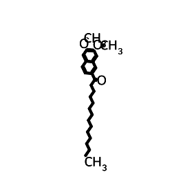 CCCCCCCCCCCCCCC(=O)c1ccc2cc(OC)c(OC)cc2c1